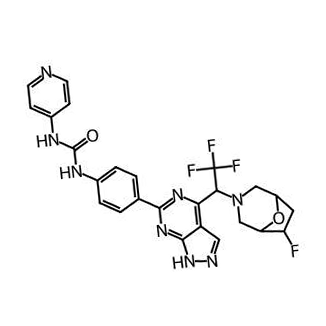 O=C(Nc1ccncc1)Nc1ccc(-c2nc(C(N3CC4CC(F)C(C3)O4)C(F)(F)F)c3cn[nH]c3n2)cc1